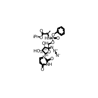 CC(C)OC(=O)[C@@H](C)NP(=O)(OC[C@@]1(N=[N+]=[N-])O[C@@H](n2ccc(=O)[nH]c2=O)[C@H](O)[C@@H]1O)Oc1ccccc1